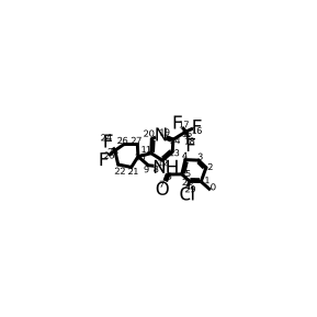 Cc1cccc(C(=O)NCC2(c3ccc(C(F)(F)F)nc3)CCC(F)(F)CC2)c1Cl